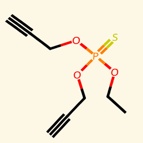 C#CCOP(=S)(OCC)OCC#C